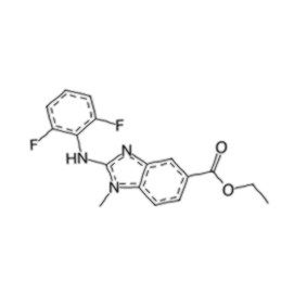 CCOC(=O)c1ccc2c(c1)nc(Nc1c(F)cccc1F)n2C